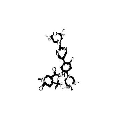 C[C@@H]1CN(c2ncc(-c3cc(NC(=O)c4cn(C)c(=O)cc4C(F)(F)F)c(N4C[C@@H](C)N(C)[C@@H](C)C4)cc3F)cn2)C[C@H](C)O1